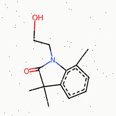 Cc1cccc2c1N(CCO)C(=O)C2(C)C